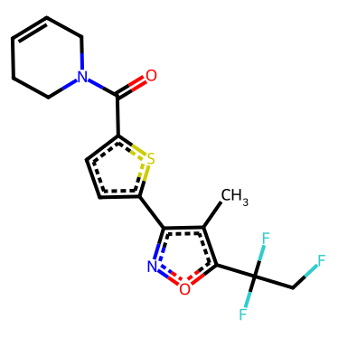 Cc1c(-c2ccc(C(=O)N3CC=CCC3)s2)noc1C(F)(F)CF